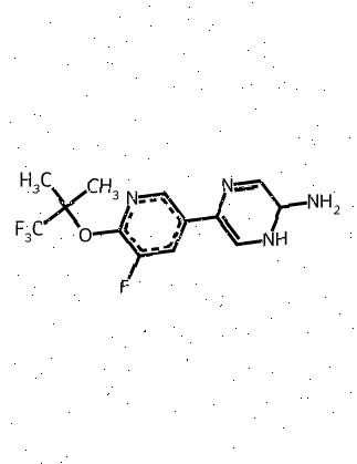 CC(C)(Oc1ncc(C2=CNC(N)C=N2)cc1F)C(F)(F)F